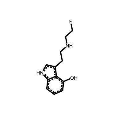 Oc1cccc2[nH]cc(CCNCCF)c12